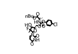 CCCCOC(=O)[C@H](C)NP(=O)(OC[C@H]1O[C@@H](n2ccc(=O)[nH]c2=O)[C@](C)(F)[C@@H]1O)Oc1ccc(Cl)cc1